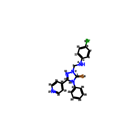 S=c1n(CNc2ccc(Br)cc2)nc(-c2ccncc2)n1-c1ccccc1